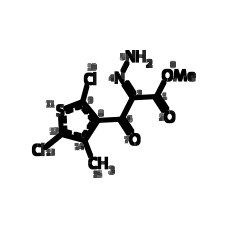 COC(=O)/C(=N\N)C(=O)c1c(Cl)sc(Cl)c1C